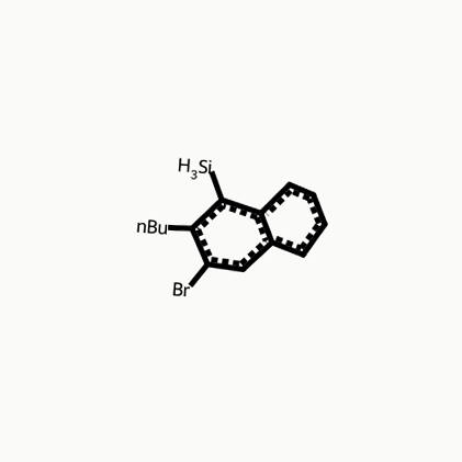 CCCCc1c(Br)cc2ccccc2c1[SiH3]